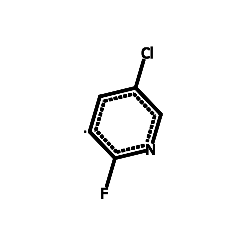 Fc1[c]cc(Cl)cn1